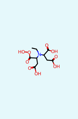 CCN(C(CC(=O)O)C(=O)O)C(CC(=O)O)C(=O)OO